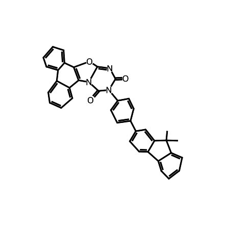 CC1(C)c2ccccc2-c2ccc(-c3ccc(-n4c(=O)nc5oc6c7ccccc7c7ccccc7c6n5c4=O)cc3)cc21